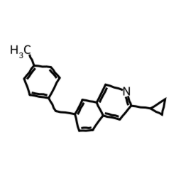 Cc1ccc(Cc2ccc3cc(C4CC4)ncc3c2)cc1